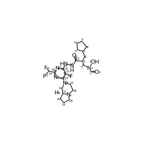 O=CN(O)C[C@H](CC1CCCC1)C(=O)NNc1nc(C(F)F)nc(N2CCN3CCC[C@H]3C2)c1F